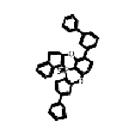 S=[P@@]12c3ccc(-c4ccccc4)cc3Oc3ccc(-c4cccc(-c5ccccc5)c4)c(c31)Oc1ccc3ccccc3c12